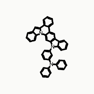 c1ccc(N(c2ccccc2)c2cccc(-n3c4ccccc4c4cc5c6ccccc6c6cc7ccccc7n6c5cc43)c2)cc1